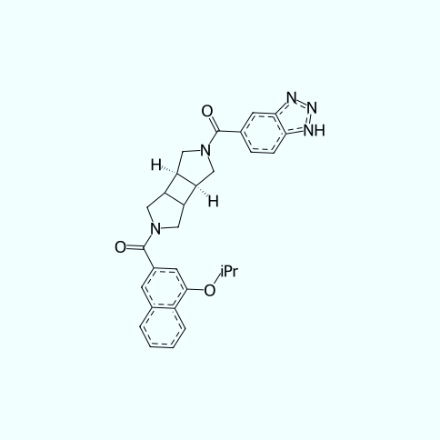 CC(C)Oc1cc(C(=O)N2CC3C(C2)[C@@H]2CN(C(=O)c4ccc5[nH]nnc5c4)C[C@H]32)cc2ccccc12